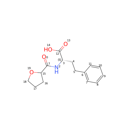 O=C(N[C@@H](CCc1ccccc1)C(=O)O)C1CCCO1